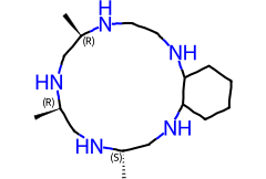 C[C@@H]1CN[C@H](C)CN[C@@H](C)CNC2CCCCC2NCCN1